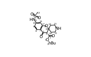 CCCCOC(=O)[C@H]1C(=O)c2ccc(NS(C)(=O)=O)cc2OC12CCNCC2